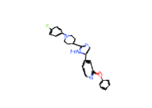 Fc1ccc(N2CCC(c3ncc(-c4ccnc(Oc5ccccc5)c4)[nH]3)CC2)cc1